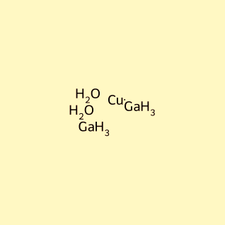 O.O.[Cu].[GaH3].[GaH3]